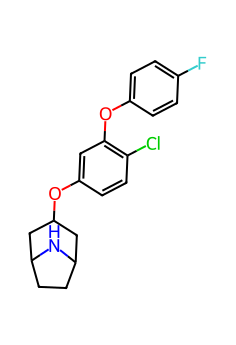 Fc1ccc(Oc2cc(OC3CC4CCC(C3)N4)ccc2Cl)cc1